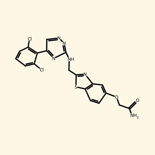 NC(=O)COc1ccc2sc(CNc3nncc(-c4c(Cl)cccc4Cl)n3)nc2c1